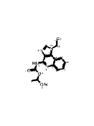 CC(=O)OC(C)OC(=O)Nc1nc2ccccc2c2c1ncn2CC(C)C